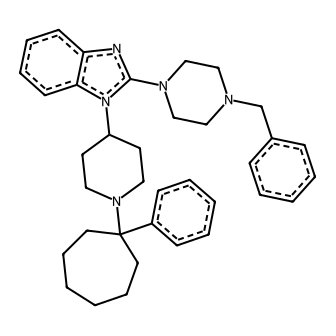 c1ccc(CN2CCN(c3nc4ccccc4n3C3CCN(C4(c5ccccc5)CCCCCC4)CC3)CC2)cc1